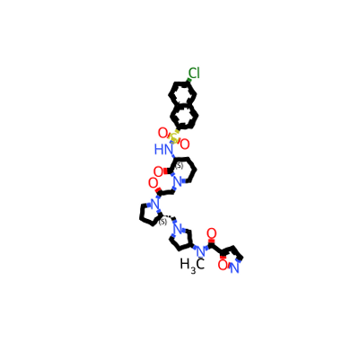 CN(C(=O)c1ccno1)C1CCN(C[C@@H]2CCCN2C(=O)CN2CCC[C@H](NS(=O)(=O)c3ccc4cc(Cl)ccc4c3)C2=O)C1